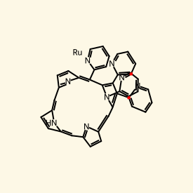 C1=Cc2cc3c(-c4ccccn4)c(-c4ccccn4)c(c(-c4ccccn4)c4nc(cc5ccc(cc1n2)[nH]5)C=C4)n3-c1ccccn1.[Ru]